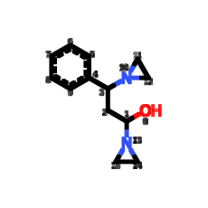 OC(CC(c1ccccc1)N1CC1)N1CC1